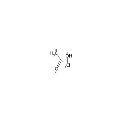 CC=O.OCl